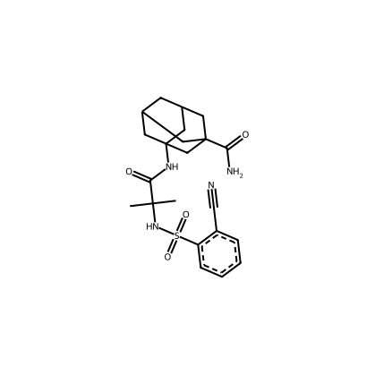 CC(C)(NS(=O)(=O)c1ccccc1C#N)C(=O)NC12CC3CC(C1)CC(C(N)=O)(C3)C2